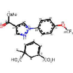 CC1(C(=O)O)C=CC=C(C(=O)O)C1.COC(=O)c1cnn(-c2ccc(OC(F)(F)F)cc2)c1